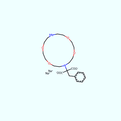 O=C([O-])C(Cc1ccccc1)(C(=O)[O-])N1CCOCCOCCNCCOCCOCC1.[Na+].[Na+]